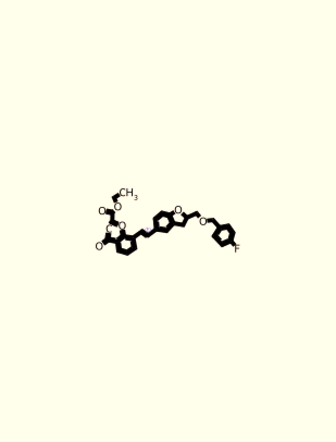 CCOC(=O)c1cc(=O)c2cccc(/C=C/c3ccc4c(c3)CC(COCc3ccc(F)cc3)O4)c2o1